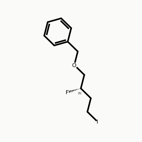 F[C@@H](CCI)COCc1ccccc1